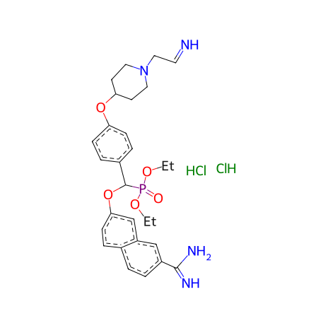 CCOP(=O)(OCC)C(Oc1ccc2ccc(C(=N)N)cc2c1)c1ccc(OC2CCN(CC=N)CC2)cc1.Cl.Cl